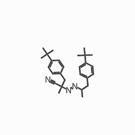 CC(Cc1ccc(C(C)(C)C)cc1)N=NC(C)(C#N)Cc1ccc(C(C)(C)C)cc1